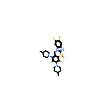 CC1CCN(c2c(F)c(N3CCC(C)CC3)c3c(c2F)[S+]([O-])c2nc4cc(F)c(F)cc4n2C3)CC1